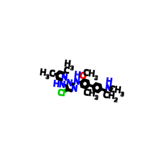 C=C(NC)c1ccc(-c2cc(OC)c(Nc3ncc(Cl)c(Nc4cc(C)cc(C)n4)n3)cc2C)cc1